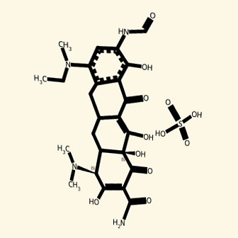 CCN(C)c1cc(NC=O)c(O)c2c1CC1CC3[C@H](N(C)C)C(O)=C(C(N)=O)C(=O)[C@@]3(O)C(O)=C1C2=O.O=S(=O)(O)O